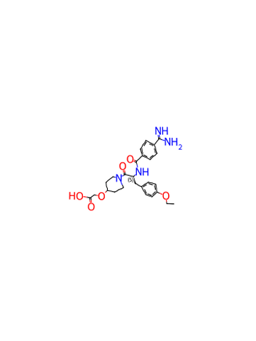 CCOc1ccc(C[C@H](NC(=O)c2ccc(C(=N)N)cc2)C(=O)N2CCC(OCC(=O)O)CC2)cc1